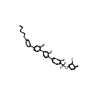 CCCCCc1ccc(-c2ccc(-c3ccc(-c4ccc(C(F)(F)Oc5ccc(C)c(F)c5)c(F)c4)c(F)c3)c(F)c2)cc1